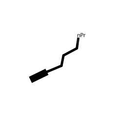 C#CCCCC[CH]C